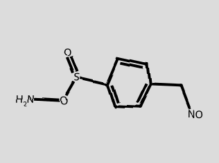 NOS(=O)c1ccc(CN=O)cc1